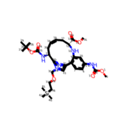 COC(=O)Nc1ccc2c(c1)N[C@@H](C(=O)OC)C/C=C\C[C@H](NC(=O)OC(C)(C)C)c1nc-2cn1COCC[Si](C)(C)C